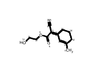 CC1=C/C(=C(/C#N)C(=O)OCCO)CCC1